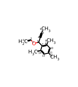 C=COC(C#CC)c1c(C)cc(C)cc1C